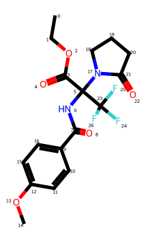 CCOC(=O)C(NC(=O)c1ccc(OC)cc1)(N1CCCC1=O)C(F)(F)F